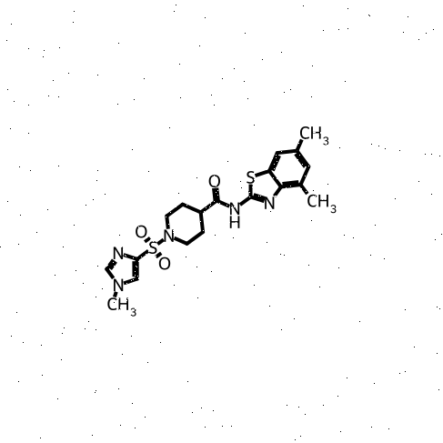 Cc1cc(C)c2nc(NC(=O)C3CCN(S(=O)(=O)c4cn(C)cn4)CC3)sc2c1